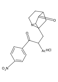 CC(=O)C(CC1C(=O)C2CCN1CC2)C(=O)c1ccc([N+](=O)[O-])cc1.Cl